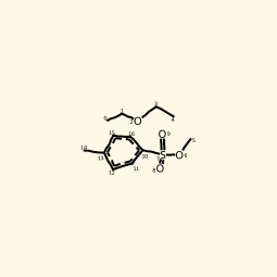 CCOCC.COS(=O)(=O)c1ccc(C)cc1